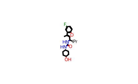 Cc1c(C(NC(=O)N[C@H]2CC[C@H](O)CC2)C(C)C)oc2ccc(F)cc12